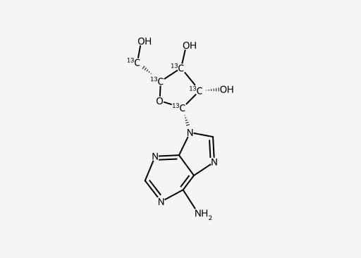 Nc1ncnc2c1ncn2[13C@@H]1O[13C@H]([13CH2]O)[13CH](O)[13C@@H]1O